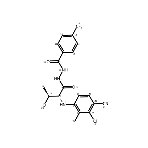 Cc1c(N[C@@H](C(=O)NNC(=O)c2ccc(C(F)(F)F)cc2)[C@H](C)O)ccc(C#N)c1Cl